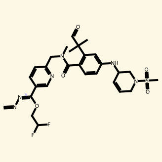 C=N/N=C(\OCC(F)F)c1ccc(CN(C)C(=O)c2ccc(NC3C=CCN(S(C)(=O)=O)C3)cc2C(C)(C)C=O)nc1